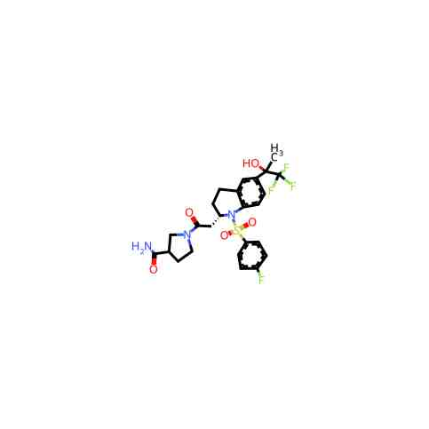 CC(O)(c1ccc2c(c1)CC[C@@H](CC(=O)N1CCC(C(N)=O)C1)N2S(=O)(=O)c1ccc(F)cc1)C(F)(F)F